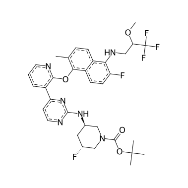 COC(CNc1c(F)ccc2c(Oc3ncccc3-c3ccnc(N[C@@H]4C[C@@H](F)CN(C(=O)OC(C)(C)C)C4)n3)c(C)ccc12)C(F)(F)F